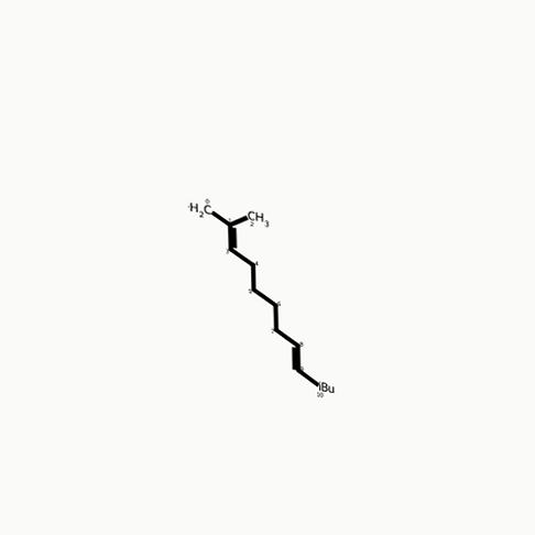 [CH2]C(C)=CCCCCC=CC(C)CC